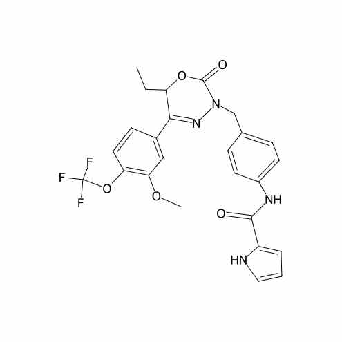 CCC1OC(=O)N(Cc2ccc(NC(=O)c3ccc[nH]3)cc2)N=C1c1ccc(OC(F)(F)F)c(OC)c1